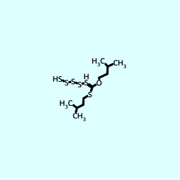 CC(C)CCOC(SCCC(C)C)=[SH]SSSS